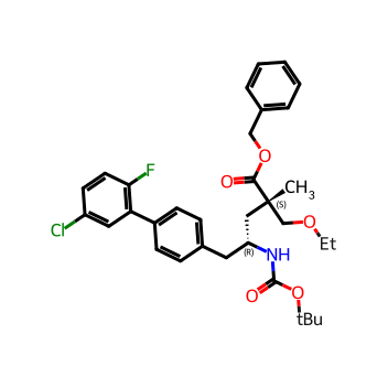 CCOC[C@](C)(C[C@@H](Cc1ccc(-c2cc(Cl)ccc2F)cc1)NC(=O)OC(C)(C)C)C(=O)OCc1ccccc1